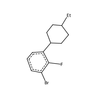 CCC1CCC(c2cccc(Br)c2F)CC1